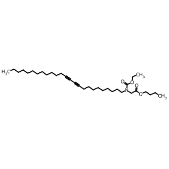 CCCCCCCCCCCCC#CC#CCCCCCCCCCN(CC(=O)OCCCC)C(=O)OCC